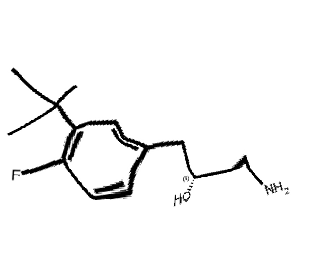 CC(C)(C)c1cc(C[C@@H](O)CN)ccc1F